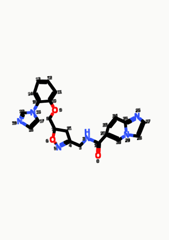 O=C(NCC1=NOC(COc2ccccc2-n2ccnc2)C1)c1ccc2nccn2c1